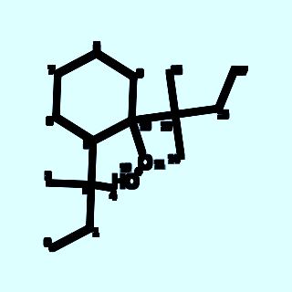 CCC(C)(C)C1CCCCC1(OO)C(C)(C)CC